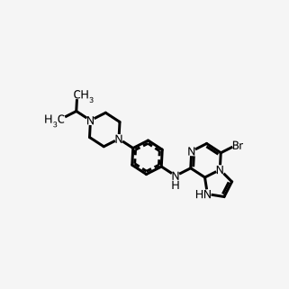 CC(C)N1CCN(c2ccc(NC3=NC=C(Br)N4C=CNC34)cc2)CC1